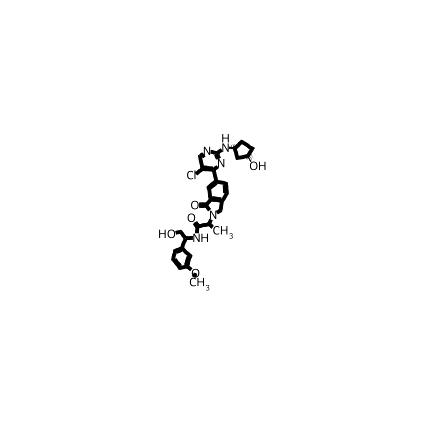 COc1cccc(C(CO)NC(=O)C(C)N2Cc3ccc(-c4nc(N[C@H]5CC[C@H](O)C5)ncc4Cl)cc3C2=O)c1